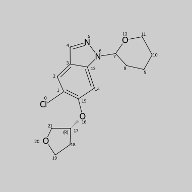 Clc1cc2cnn(C3CCCCO3)c2cc1O[C@@H]1CCOC1